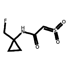 O=C(C=S(=O)=O)NC1(CF)CC1